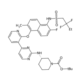 CCC(F)(F)CS(=O)(=O)Nc1c(F)ccc2c(Oc3ncccc3-c3ccnc(N[C@H]4CCCN(C(=O)OC(C)(C)C)C4)n3)c(C)ccc12